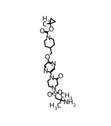 CC(C)(N)CS(=O)(=O)N1CCN(c2cnc(OCC3CCN(C(=O)OC4(C)CC4)CC3)cn2)C(=O)C1